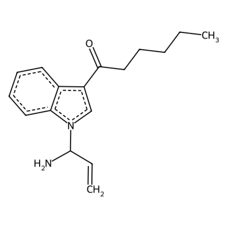 C=CC(N)n1cc(C(=O)CCCCC)c2ccccc21